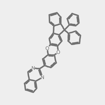 c1ccc(C2(c3ccccc3)c3ccccc3-c3cc4c(cc32)Oc2ccc(-c3ncc5ccccc5n3)cc2O4)cc1